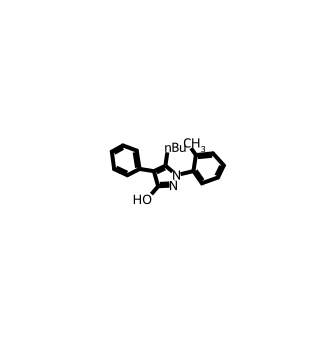 CCCCc1c(-c2ccccc2)c(O)nn1-c1ccccc1C